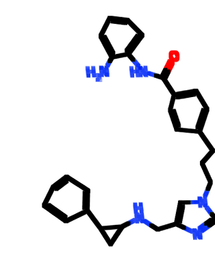 Nc1ccccc1NC(=O)c1ccc(CCCn2cnc(CNC3CC3c3ccccc3)c2)cc1